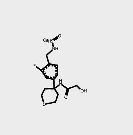 O=C(CO)NC1(c2ccc(CN[SH](=O)=O)c(F)c2)CCOCC1